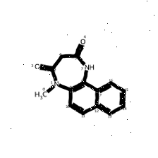 CN1C(=O)CC(=O)Nc2c1ccc1ccccc21